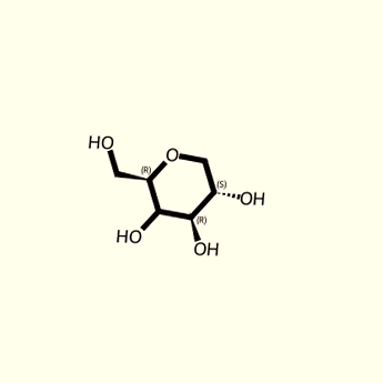 OC[C@H]1OC[C@H](O)[C@@H](O)C1O